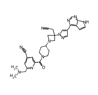 CN(C)Cc1cc(C#N)cc(C(=O)N2CCC(N3CC(CC#N)(n4cc(-c5ncnc6[nH]ccc56)cn4)C3)CC2)n1